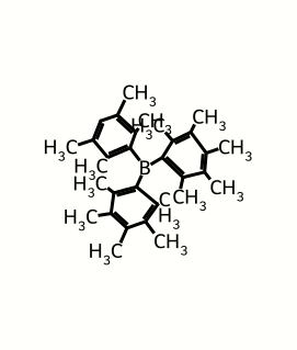 Cc1cc(C)c(C)c(B(c2c(C)c(C)c(C)c(C)c2C)c2c(C)c(C)c(C)c(C)c2C)c1C